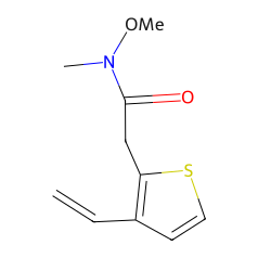 C=Cc1ccsc1CC(=O)N(C)OC